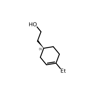 CCC1=CC[C@@H](CCO)CC1